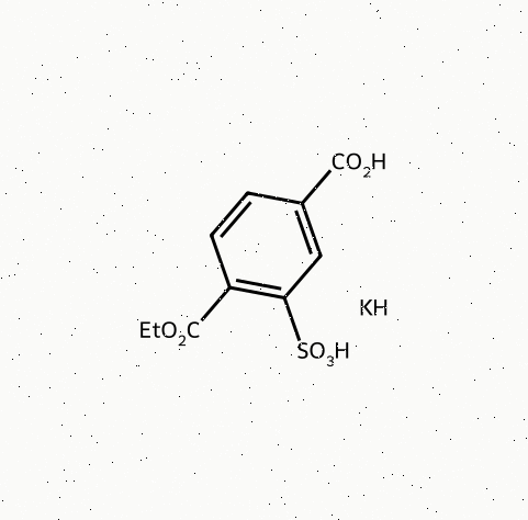 CCOC(=O)c1ccc(C(=O)O)cc1S(=O)(=O)O.[KH]